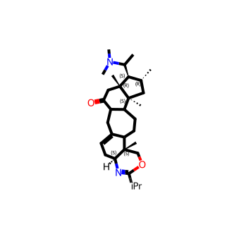 CC(C)C1=N[C@H]2CC=C3CC4C(=O)C[C@]5(C)[C@@H](C(C)N(C)C)[C@H](C)C[C@@]5(C)C4CCC3[C@]2(C)CO1